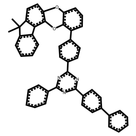 CC1(C)c2ccccc2-c2c1ccc1c2Oc2c(cccc2-c2ccc(-c3nc(-c4ccccc4)nc(-c4ccc(-c5ccccc5)cc4)n3)cc2)O1